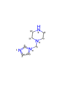 [c]1nccn1CN1CCNCC1